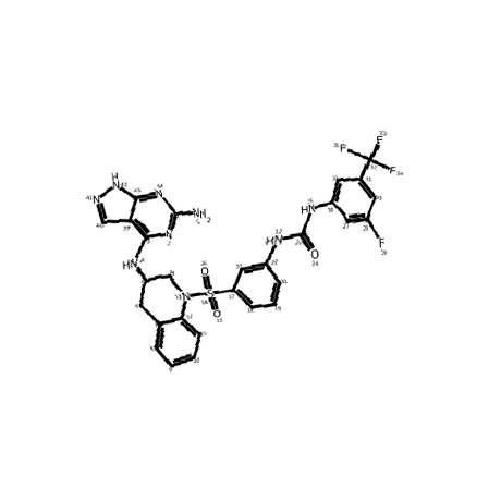 Nc1nc(NC2Cc3ccccc3N(S(=O)(=O)c3cccc(NC(=O)Nc4cc(F)cc(C(F)(F)F)c4)c3)C2)c2cn[nH]c2n1